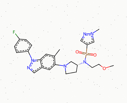 COCCN([C@@H]1CCN(c2cc3cnn(-c4ccc(F)cc4)c3cc2C)C1)S(=O)(=O)c1cnn(C)c1